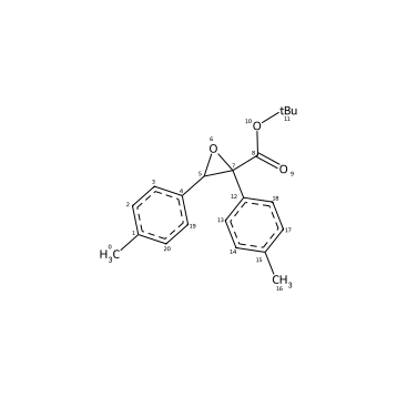 Cc1ccc(C2OC2(C(=O)OC(C)(C)C)c2ccc(C)cc2)cc1